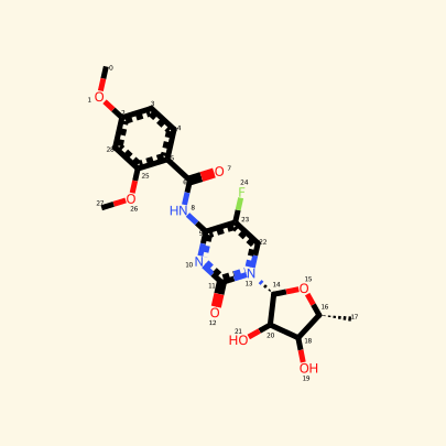 COc1ccc(C(=O)Nc2nc(=O)n([C@@H]3O[C@H](C)C(O)C3O)cc2F)c(OC)c1